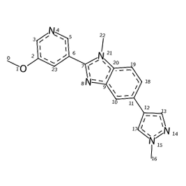 COc1cncc(-c2nc3cc(-c4cnn(C)c4)ccc3n2C)c1